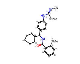 CN/C(=N\C#N)Nc1ccc(C(NC(=O)c2ccccc2OC)C2CCCCC2)cc1